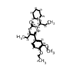 CCOc1ccc(C2=NN(C(CC)N3CCCCC3)C(=O)SC2CC)cc1OC